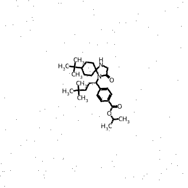 CC(C)OC(=O)c1ccc([C@@H](CCC(C)(C)C)N2C(=O)CNC23CCC(C(C)(C)C)CC3)cc1